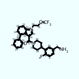 NCc1ccc(F)c(C2CCN(C(=O)c3cn(CCOC(F)(F)F)c4cccc(-c5ccccc5)c34)CC2)c1